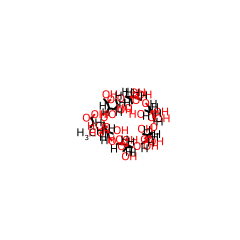 CCCC(=O)O.OC[C@H]1O[C@@H]2O[C@H]3[C@H](O)[C@@H](O)[C@@H](O[C@H]4[C@H](O)[C@@H](O)[C@@H](O[C@H]5[C@H](O)[C@@H](O)[C@@H](O[C@H]6[C@H](O)[C@@H](O)[C@@H](O[C@H]7[C@H](O)[C@@H](O)[C@@H](O[C@H]1[C@H](O)[C@H]2O)O[C@@H]7CO)O[C@@H]6CO)O[C@@H]5CO)O[C@@H]4CO)O[C@@H]3CO